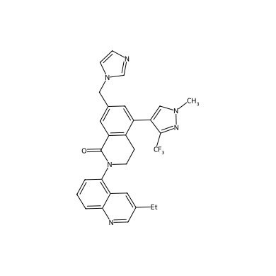 CCc1cnc2cccc(N3CCc4c(cc(Cn5ccnc5)cc4-c4cn(C)nc4C(F)(F)F)C3=O)c2c1